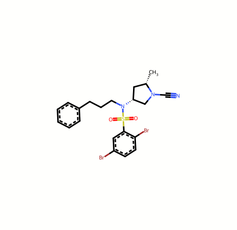 C[C@H]1C[C@@H](N(CCCc2ccccc2)S(=O)(=O)c2cc(Br)ccc2Br)CN1C#N